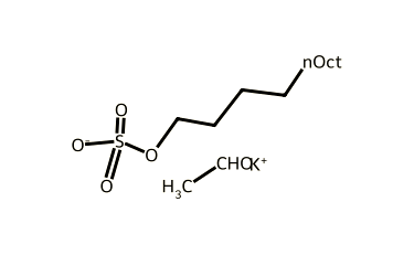 CC=O.CCCCCCCCCCCCOS(=O)(=O)[O-].[K+]